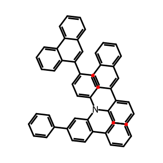 c1ccc(-c2ccc(-c3ccccc3)c(N(c3ccc(-c4cc5ccccc5c5ccccc45)cc3)c3ccccc3-c3ccc4ccccc4c3)c2)cc1